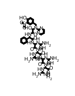 N=C(N)NC(NC(=O)C(NC(=N)N)NC(=O)C(NC(=N)N)NC(=O)C(NC(=N)N)NC(=O)C(NC(=O)C(O)N(Cc1ccc(O)c([N+](=O)[O-])c1)c1ncccn1)c1ccccc1)C(N)=O